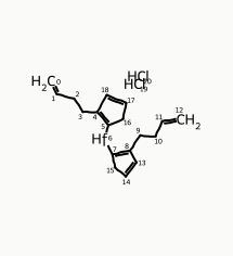 C=CCCC1=[C]([Hf][C]2=C(CCC=C)C=CC2)CC=C1.Cl.Cl